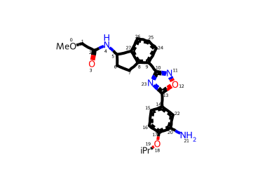 COCC(=O)NC1CCc2c(-c3noc(-c4ccc(OC(C)C)c(N)c4)n3)cccc21